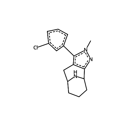 Cn1nc2c(c1-c1cccc(Cl)c1)CC1CCCC2N1